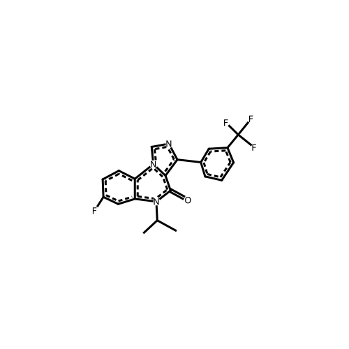 CC(C)n1c(=O)c2c(-c3cccc(C(F)(F)F)c3)ncn2c2ccc(F)cc21